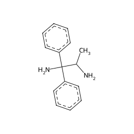 CC(N)C(N)(c1ccccc1)c1ccccc1